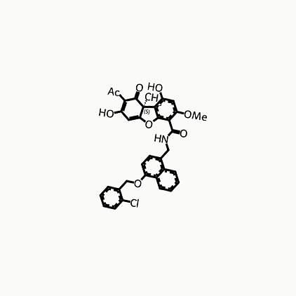 COc1cc(O)c2c(c1C(=O)NCc1ccc(OCc3ccccc3Cl)c3ccccc13)OC1=CC(O)=C(C(C)=O)C(=O)[C@]12C